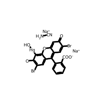 N#CN.O=C([O-])c1ccccc1-c1c2cc(Br)c(=O)cc-2oc2[c]([Hg][OH])c([O-])c(Br)cc12.[Na+].[Na+]